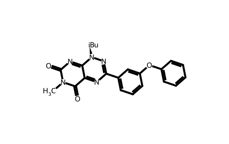 CC[C@H](C)n1nc(-c2cccc(Oc3ccccc3)c2)nc2c(=O)n(C)c(=O)nc1-2